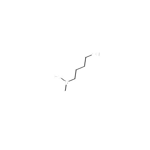 CN(S)CCCCO